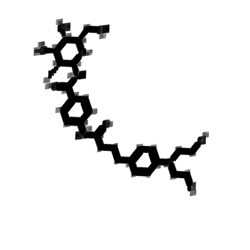 O=C(CCCc1ccc(N(CCCl)CCCl)cc1)Nc1ccc(C(=O)N[C@@H]2O[C@H](CO)[C@@H](O)[C@H](O)[C@H]2F)cc1